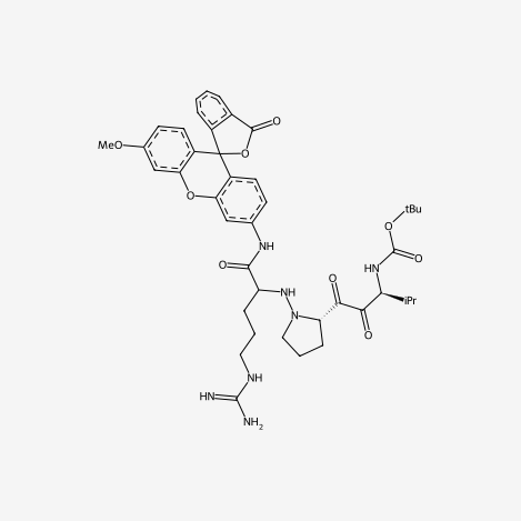 COc1ccc2c(c1)Oc1cc(NC(=O)C(CCCNC(=N)N)NN3CCC[C@H]3C(=O)C(=O)[C@@H](NC(=O)OC(C)(C)C)C(C)C)ccc1C21OC(=O)c2ccccc21